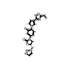 O=C1O[C@@H](Cn2ccnn2)CN1c1ccc(-n2ccc(-c3noc(CF)n3)c2)c(F)c1